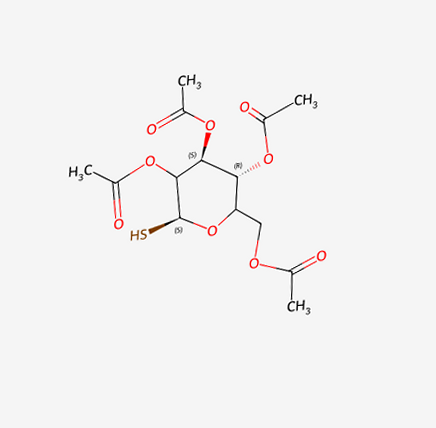 CC(=O)OCC1O[C@@H](S)C(OC(C)=O)[C@@H](OC(C)=O)[C@@H]1OC(C)=O